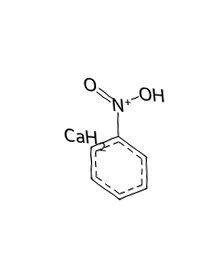 O=[N+](O)c1ccccc1.[CaH2]